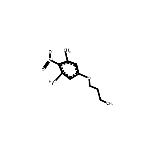 CCCCOc1cc(C)c([N+](=O)[O-])c(C)c1